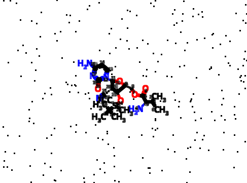 CC(C)[C@H](N)C(=O)OC[C@H]1O[C@@H](n2ccc(N)nc2=O)[C@@H](C#N)[C@@H]1O[Si](C)(C)C(C)(C)C